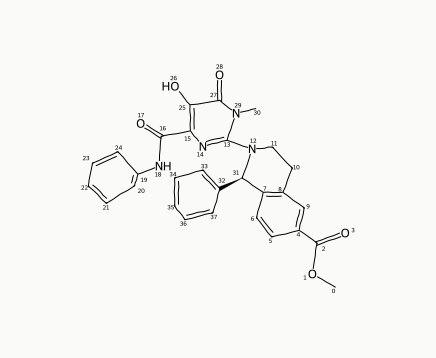 COC(=O)c1ccc2c(c1)CCN(c1nc(C(=O)Nc3ccccc3)c(O)c(=O)n1C)[C@@H]2c1ccccc1